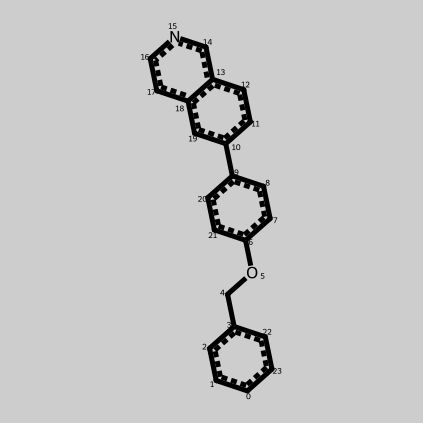 c1ccc(COc2ccc(-c3ccc4cnccc4c3)cc2)cc1